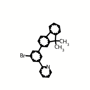 CC1(C)c2ccccc2-c2ccc(-c3cc(Br)cc(-c4ccccn4)c3)cc21